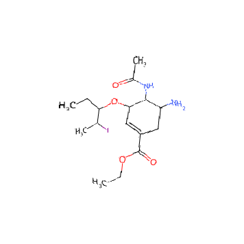 CCOC(=O)C1=CC(OC(CC)C(C)I)C(NC(C)=O)C(N)C1